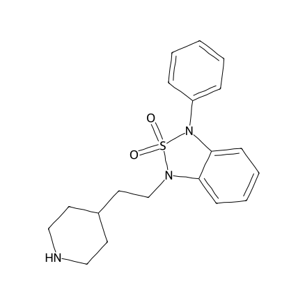 O=S1(=O)N(CCC2CCNCC2)c2ccccc2N1c1ccccc1